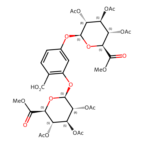 COC(=O)[C@H]1O[C@@H](Oc2ccc(C(=O)O)c(O[C@@H]3O[C@H](C(=O)OC)[C@@H](OC(C)=O)[C@H](OC(C)=O)[C@H]3OC(C)=O)c2)[C@H](OC(C)=O)[C@@H](OC(C)=O)[C@@H]1OC(C)=O